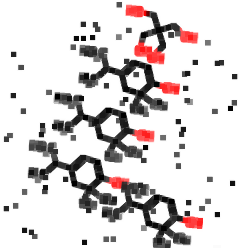 CC(C(=O)O)C1=CC=C(O)C(C(C)(C)C)(C(C)(C)C)C1.CC(C(=O)O)C1=CC=C(O)C(C(C)(C)C)(C(C)(C)C)C1.CC(C(=O)O)C1=CC=C(O)C(C(C)(C)C)(C(C)(C)C)C1.CC(C(=O)O)C1=CC=C(O)C(C(C)(C)C)(C(C)(C)C)C1.OCC(CO)(CO)CO